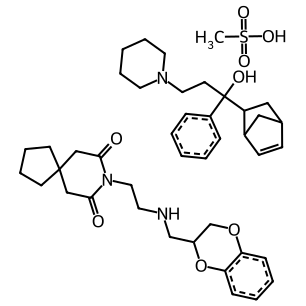 CS(=O)(=O)O.O=C1CC2(CCCC2)CC(=O)N1CCNCC1COc2ccccc2O1.OC(CCN1CCCCC1)(c1ccccc1)C1CC2C=CC1C2